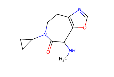 CNC1C(=O)N(C2CC2)CCc2ncoc21